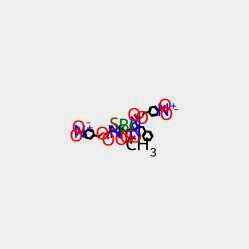 CC(=O)OC(c1cn(C(=O)OCc2ccc([N+](=O)[O-])cc2)c(Cc2ccccc2)n1)C1(Br)C(=O)N2C(C(=O)OCc3ccc([N+](=O)[O-])cc3)=CSC21